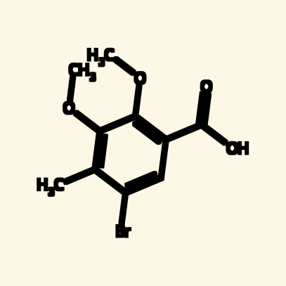 COc1c(C(=O)O)cc(Br)c(C)c1OC